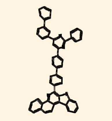 c1ccc(-c2cccc(-c3cc(-c4ccc(-c5ccc(-c6nc7c8ccccc8ccc7c7c6sc6ccccc67)cc5)cc4)nc(-c4ccccc4)n3)c2)cc1